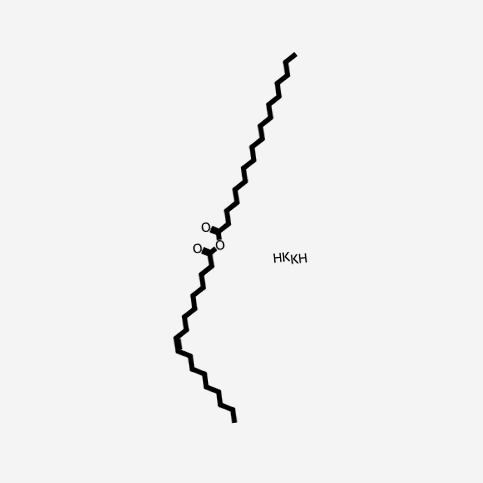 CCCCCCCC/C=C\CCCCCCCC(=O)OC(=O)CCCCCCCCCCCCCCCCC.[KH].[KH]